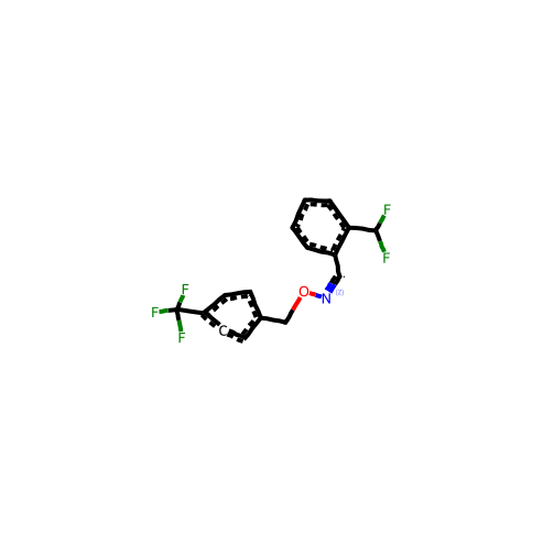 FC(F)c1ccccc1/[C]=N\OCc1ccc(C(F)(F)F)cc1